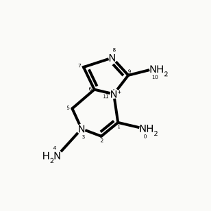 NC1=CN(N)CC2=CN=C(N)[N+]12